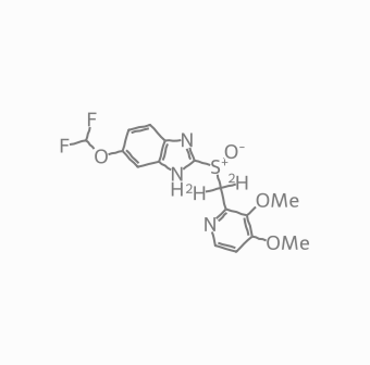 [2H]C([2H])(c1nccc(OC)c1OC)[S+]([O-])c1nc2ccc(OC(F)F)cc2[nH]1